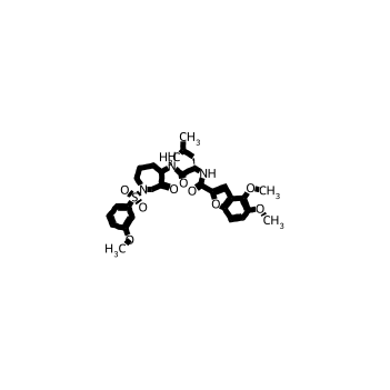 COc1cccc(S(=O)(=O)N2CCCC(NC(=O)[C@H](CC(C)C)NC(=O)c3cc4c(OC)c(OC)ccc4o3)C(=O)C2)c1